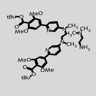 CN(C)CCN.COc1cc(-c2ccc(N(C)CCN(C)c3ccc(-c4cc(OC)c(C(=O)OC(C)(C)C)c(OC)c4)nc3)cn2)cc(OC)c1C(=O)OC(C)(C)C